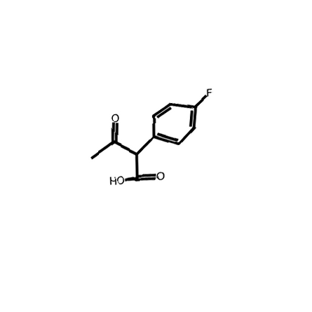 CC(=O)C(C(=O)O)c1ccc(F)cc1